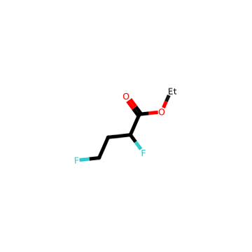 CCOC(=O)C(F)CCF